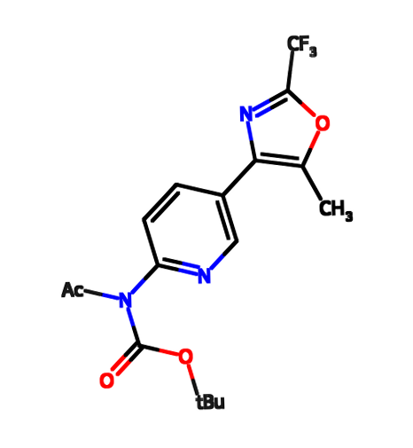 CC(=O)N(C(=O)OC(C)(C)C)c1ccc(-c2nc(C(F)(F)F)oc2C)cn1